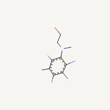 CC(=O)Nc1c(I)c(C(=O)O)c(I)c(N(CCO)C(C)=O)c1I